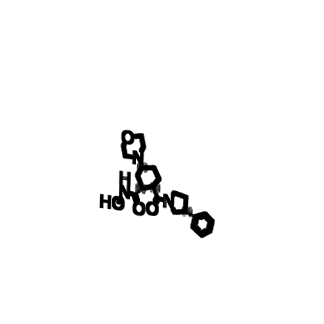 O=C(NO)[C@@H]1C[C@H](N2CCOCC2)CC[C@H]1C(=O)N1CC[C@H](c2ccccc2)C1